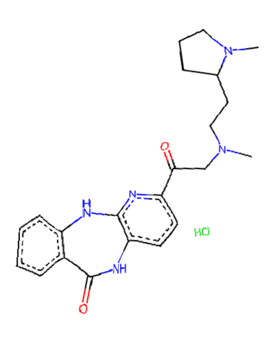 CN(CCC1CCCN1C)CC(=O)c1ccc2c(n1)Nc1ccccc1C(=O)N2.Cl